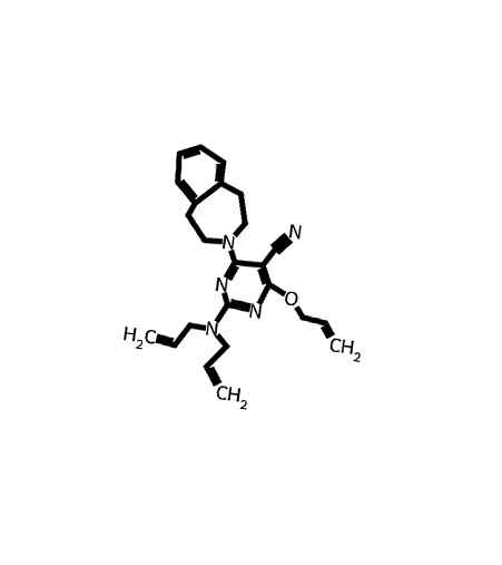 C=CCOc1nc(N(CC=C)CC=C)nc(N2CCc3ccccc3CC2)c1C#N